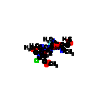 CCN(CCCOc1ccc(-c2cccc(S(=O)(=O)CC)c2)c2c1[nH]c1ncc(C)cc12)C(F)(F)CC(OP(=O)(O)O)(C(O)C(F)(F)N(CC)CCCOc1ccc(-c2cccc(S(=O)(=O)CC)c2)c2c1[nH]c1ncc(C)cc12)C(F)(F)N(CC)CCCOc1ccc(-c2cccc(S(=O)(=O)CC)c2)c2c1[nH]c1ncc(Cl)cc12